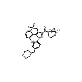 COc1cccc2c1-c1c(c(C(=O)N3CCO[C@@H]4C[C@@H]43)nn1-c1ccc(CN3CCOCC3)cc1)CS2(=O)=O